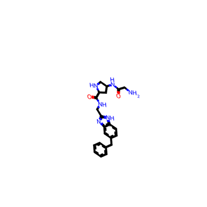 NCC(=O)NC1CNC(C(=O)NCc2nc3cc(Cc4ccccc4)ccc3[nH]2)C1